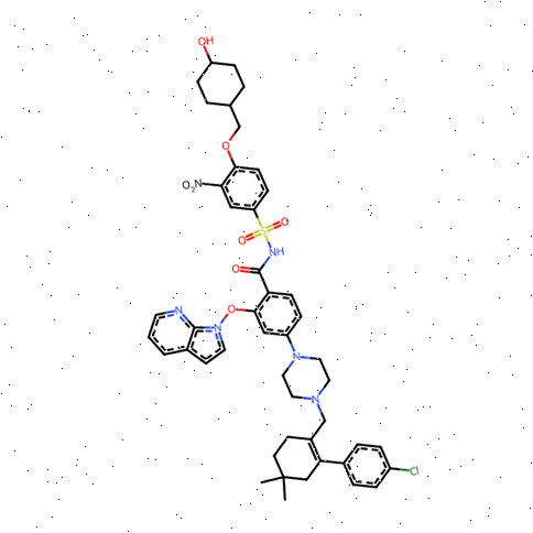 CC1(C)CCC(CN2CCN(c3ccc(C(=O)NS(=O)(=O)c4ccc(OCC5CCC(O)CC5)c([N+](=O)[O-])c4)c(On4ccc5cccnc54)c3)CC2)=C(c2ccc(Cl)cc2)C1